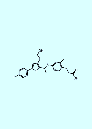 Cc1cc(SC(C)c2sc(-c3ccc(F)cc3)cc2CCO)ccc1CCC(=O)O